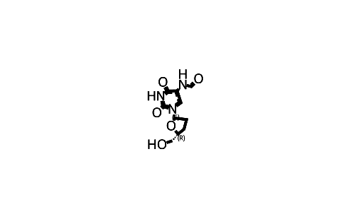 O=CNc1cn([C@@H]2CC[C@H](CO)O2)c(=O)[nH]c1=O